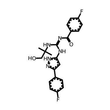 CC(C)(CO)N/C(=N/C(=O)c1ccc(F)cc1)Nc1cc(-c2ccc(F)cc2)n[nH]1